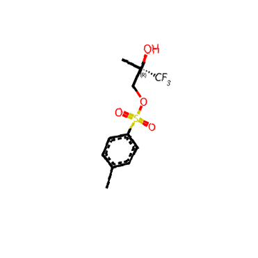 Cc1ccc(S(=O)(=O)OC[C@@](C)(O)C(F)(F)F)cc1